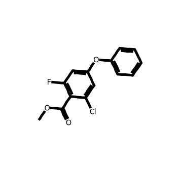 COC(=O)c1c(F)cc(Oc2ccccc2)cc1Cl